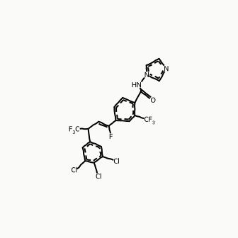 O=C(Nn1ccnc1)c1ccc(/C(F)=C/C(c2cc(Cl)c(Cl)c(Cl)c2)C(F)(F)F)cc1C(F)(F)F